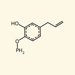 C=CCc1ccc(OP)c(O)c1